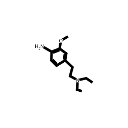 CCN(CC)CCc1ccc(N)c(OC)c1